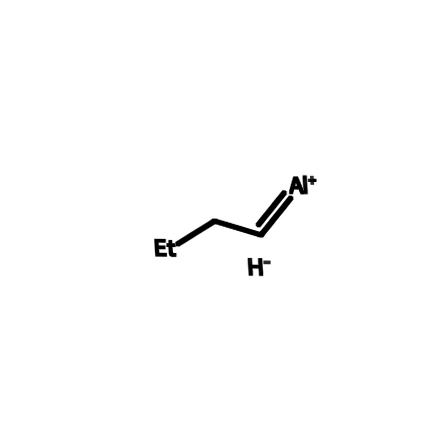 CCC[CH]=[Al+].[H-]